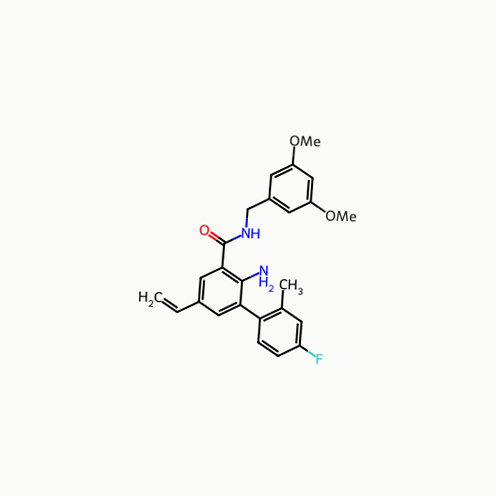 C=Cc1cc(C(=O)NCc2cc(OC)cc(OC)c2)c(N)c(-c2ccc(F)cc2C)c1